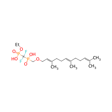 CCOP(=O)(O)C(F)(F)P(=O)(O)COC/C=C(\C)CC/C=C(\C)CCC=C(C)C